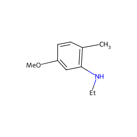 CCNc1cc(OC)ccc1C